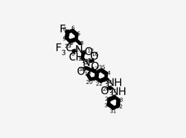 C[C@H](N(Cc1ccc(F)cc1)C(=O)CN1C(=O)O[C@@]2(CCc3cc(NC(=O)Nc4ccccc4)ccc32)C1=O)C(F)(F)F